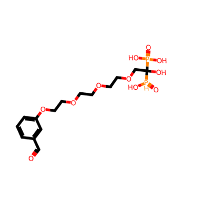 O=Cc1cccc(OCCOCCOCCOCC(O)([PH](=O)O)P(=O)(O)O)c1